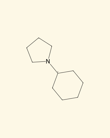 C1CC[C](N2CCCC2)CC1